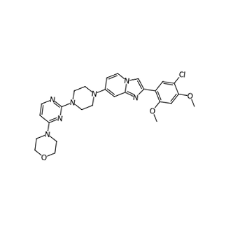 COc1cc(OC)c(-c2cn3ccc(N4CCN(c5nccc(N6CCOCC6)n5)CC4)cc3n2)cc1Cl